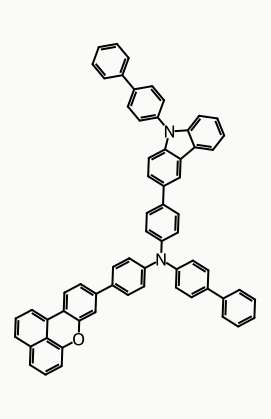 c1ccc(-c2ccc(N(c3ccc(-c4ccc5c(c4)Oc4cccc6cccc-5c46)cc3)c3ccc(-c4ccc5c(c4)c4ccccc4n5-c4ccc(-c5ccccc5)cc4)cc3)cc2)cc1